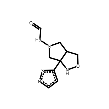 O=CBN1CC2CONC2(c2ccns2)C1